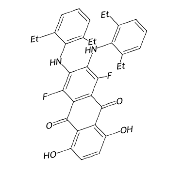 CCc1cccc(CC)c1Nc1c(F)c2c(c(F)c1Nc1c(CC)cccc1CC)C(=O)c1c(O)ccc(O)c1C2=O